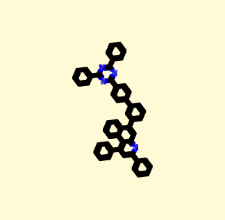 c1ccc(-c2cc(-c3ccccc3)c3c(cc(-c4cccc(-c5ccc(-c6nc(-c7ccccc7)nc(-c7ccccc7)n6)cc5)c4)c4ccccc43)n2)cc1